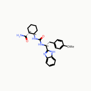 COc1ccc(C[C@@H](NC(=O)N[C@@H]2CCCC[C@H]2C(N)=O)c2nc3ccccc3[nH]2)cc1